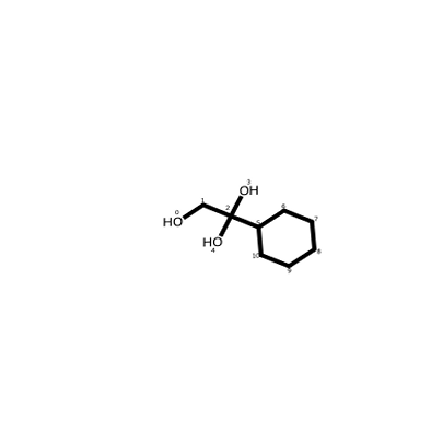 OCC(O)(O)C1CCCCC1